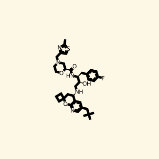 Cc1nc(CN2CCO[C@H](C(=O)N[C@@H](Cc3ccc(F)cc3)[C@H](O)CN[C@H]3CC4(CCC4)Oc4ncc(CC(C)(C)C)cc43)C2)cs1